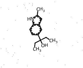 CCC(O)(CC)c1ccc2[nH]c(C)cc2c1